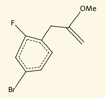 C=C(Cc1ccc(Br)cc1F)OC